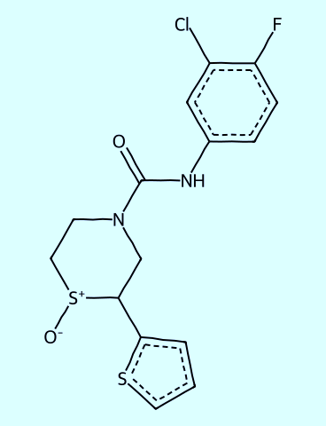 O=C(Nc1ccc(F)c(Cl)c1)N1CC[S+]([O-])C(c2cccs2)C1